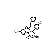 COC(=O)C(c1ccc(Cl)cc1)N(C(=O)/C=C/c1ccccc1)[C@H](C)c1ccc(Cl)cc1